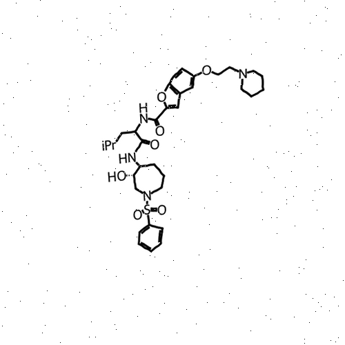 CC(C)CC(NC(=O)c1cc2cc(OCCN3CCCCC3)ccc2o1)C(=O)NC1CCCN(S(=O)(=O)c2ccccc2)C[C@@H]1O